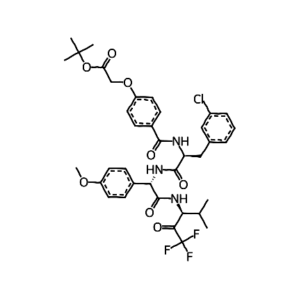 COc1ccc([C@H](NC(=O)[C@H](Cc2cccc(Cl)c2)NC(=O)c2ccc(OCC(=O)OC(C)(C)C)cc2)C(=O)N[C@H](C(=O)C(F)(F)F)C(C)C)cc1